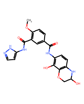 COc1ccc(C(=O)Nc2ccc3c(c2O)OCC(O)N3)cc1C(=O)Nc1ccn[nH]1